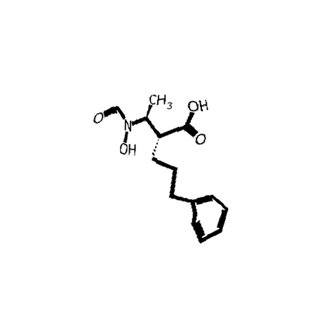 C[C@@H]([C@@H](CCCc1ccccc1)C(=O)O)N(O)C=O